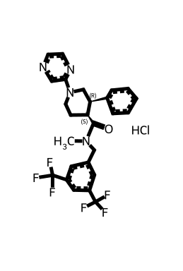 CN(Cc1cc(C(F)(F)F)cc(C(F)(F)F)c1)C(=O)[C@H]1CCN(c2cnccn2)C[C@H]1c1ccccc1.Cl